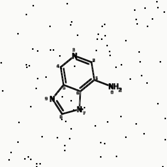 Nc1cncc2c1[N]C=N2